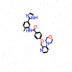 Cc1ccc(-c2ncc[nH]2)cc1NC(=O)c1ccc(OCc2ncccc2N2CCOCC2)cc1